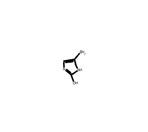 Bc1cnc(O)[nH]1